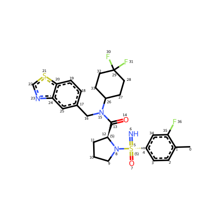 Cc1ccc([S@](=N)(=O)N2CCC[C@H]2C(=O)N(Cc2ccc3scnc3c2)C2CCC(F)(F)CC2)cc1F